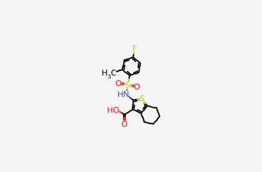 Cc1cc(F)ccc1S(=O)(=O)Nc1sc2c(c1C(=O)O)CCCC2